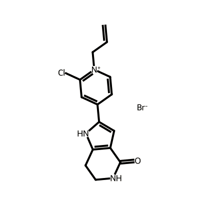 C=CC[n+]1ccc(-c2cc3c([nH]2)CCNC3=O)cc1Cl.[Br-]